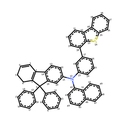 C1=CC2=C(CC1)C(c1ccccc1)(c1ccccc1)c1cc(N(c3cccc(-c4cccc5c4sc4ccccc45)c3)c3cccc4ccccc34)ccc12